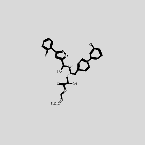 CCOC(=O)OCOC(=O)[C@H](O)C[C@@H](Cc1ccc(-c2cccc(Cl)c2)cc1)NC(O)c1cc(-c2ccccc2F)no1